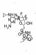 CCOC(=O)C(C)N[P@@](=O)(OC[C@H]1O[C@@H](n2cnc3c(NC4CC4)nc(N)nc32)[C@@](F)(C(F)(F)F)[C@@H]1O)Oc1ccccc1